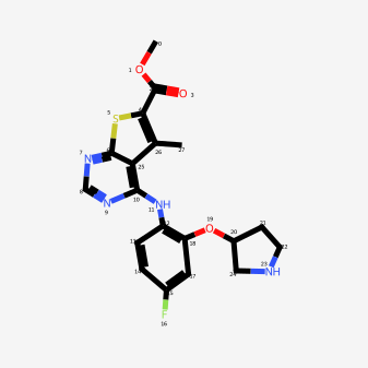 COC(=O)c1sc2ncnc(Nc3ccc(F)cc3OC3CCNC3)c2c1C